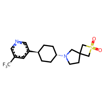 O=S1(=O)CC2(CCN([C@H]3CC[C@H](c4cncc(C(F)(F)F)c4)CC3)C2)C1